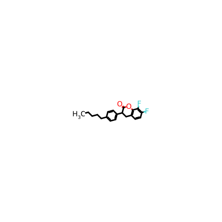 CCCCCc1ccc(C2Cc3ccc(F)c(F)c3OC2=O)cc1